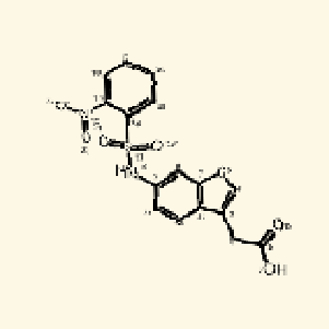 O=C(O)Cc1coc2cc(NS(=O)(=O)c3ccccc3[N+](=O)[O-])ccc12